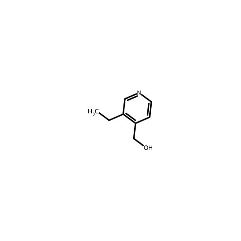 CCc1cnccc1CO